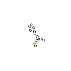 CC1(C)c2ccc(-c3ccc4cc(-c5c6ccccc6c(-c6cccc7ccccc67)c6ccccc56)ccc4c3)cc2-c2cc3cc4sc5ccccc5c4cc3cc21